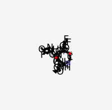 CC[C@@H]1C[C@H](C)CC/C=C\[C@@H]2C[C@@]2(C(=O)NS(=O)(=O)C2CC2)NC(=O)[C@@H]2C[C@@H](Oc3ccnc4cc(OC)c(F)cc34)CN2C(=O)[C@H]1NC(=O)OC(C)(C)C(F)F